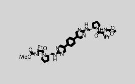 COC(=O)N[C@H](C(=O)N1CCC[C@H]1CNc1ncc(-c2ccc(-c3cnc(NC[C@@H]4CCCN4C(=O)[C@@H](NC4OCO4)C(C)C)nc3)cc2)cn1)C(C)C